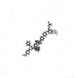 CC1(C)CCC(CN2CCN(c3ccc(C(=O)NS(=O)(=O)c4ccc(N[C@H](CCN5CCC(O)CC5)CSc5ccccc5)c(S(=O)(=O)C(F)(F)F)c4)cc3)CC2)=C(CCCC(F)F)C1